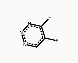 Fc1cnnnc1F